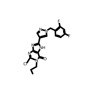 CCCn1c(Cl)nc2nc(-c3cnn(Cc4ccc(F)cc4F)c3)[nH]c2c1=O